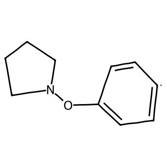 [c]1ccc(ON2CCCC2)cc1